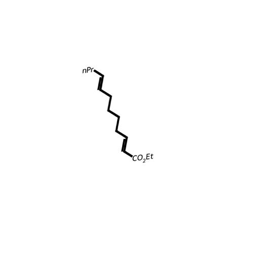 CCCC=CCCCCC=CC(=O)OCC